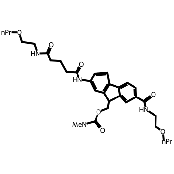 CCCOCCNC(=O)CCCC(=O)Nc1ccc2c(c1)C(COC(=O)NC)c1cc(C(=O)NCCOCCC)ccc1-2